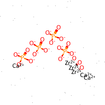 O=P([O-])([O-])[O-].O=P([O-])([O-])[O-].O=P([O-])([O-])[O-].O=P([O-])([O-])[O-].[Ca+2].[Ca+2].[Ca+2].[O]=[Zr+2].[O]=[Zr+2].[O]=[Zr+2]